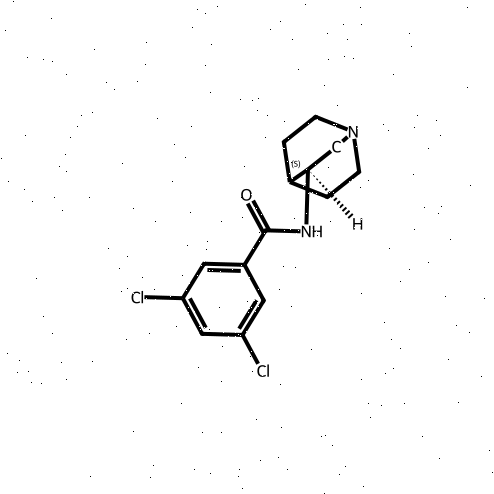 O=C(N[C@@H]1CN2CCC1CC2)c1cc(Cl)cc(Cl)c1